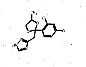 CC1COC(Cc2nc[nH]n2)(c2ccc(Cl)cc2Cl)O1